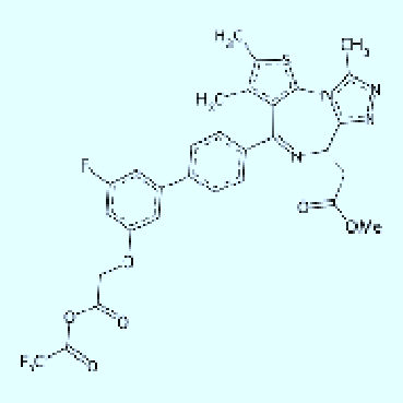 COC(=O)C[C@@H]1N=C(c2ccc(-c3cc(F)cc(OCC(=O)OC(=O)C(F)(F)F)c3)cc2)c2c(sc(C)c2C)-n2c(C)nnc21